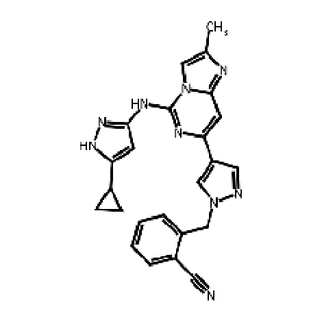 Cc1cn2c(Nc3cc(C4CC4)[nH]n3)nc(-c3cnn(Cc4ccccc4C#N)c3)cc2n1